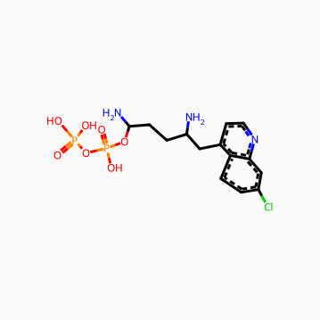 NC(CCC(N)OP(=O)(O)OP(=O)(O)O)Cc1ccnc2cc(Cl)ccc12